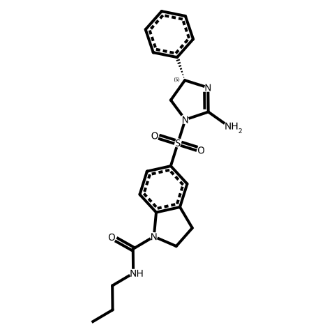 CCCNC(=O)N1CCc2cc(S(=O)(=O)N3C[C@H](c4ccccc4)N=C3N)ccc21